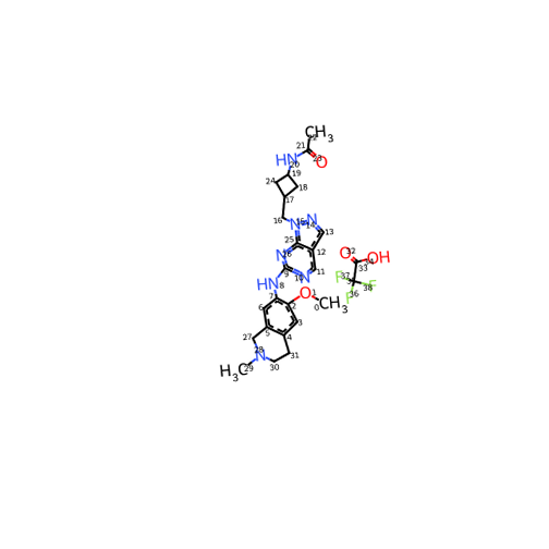 COc1cc2c(cc1Nc1ncc3cnn(CC4CC(NC(C)=O)C4)c3n1)CN(C)CC2.O=C(O)C(F)(F)F